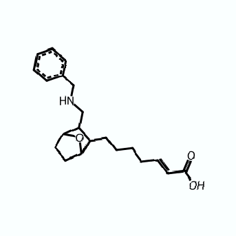 O=C(O)/C=C/CCCCC1C2CCC(O2)C1CNCc1ccccc1